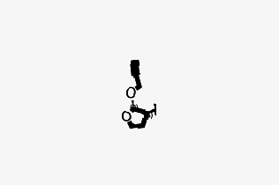 C#CCO[C@H]1OCC[C@@H]1I